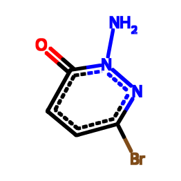 Nn1nc(Br)ccc1=O